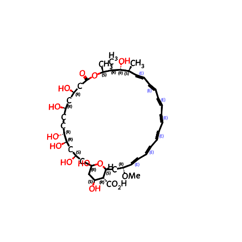 CO[C@H]1/C=C/C=C/C=C/C=C/C=C/C=C/C=C/[C@H](C)[C@@H](O)[C@@H](C)[C@H](C)OC(=O)C[C@H](O)C[C@H](O)CC[C@@H](O)[C@H](O)C[C@H](O)C[C@]2(O)C[C@H](O)[C@@H](C(=O)O)[C@H](C1)O2